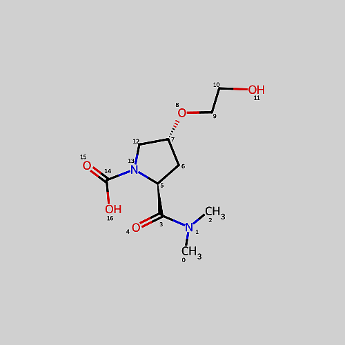 CN(C)C(=O)[C@@H]1C[C@@H](OCCO)CN1C(=O)O